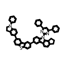 c1ccc(-c2cc(-c3ccccc3)nc(-n3c4ccc(-c5ccc6sc7ccc(-c8ccc9c(c8)CCN9c8ccccc8)cc7c6c5)cc4c4ccc5c(c43)CCC5)n2)cc1